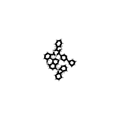 c1ccc(-c2ccc(-c3nc(-c4cccc5c4-c4cccc6c(-n7c8ccccc8c8ccccc87)ccc(c46)S5)nc4c3sc3ccccc34)cc2)cc1